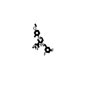 CCOc1ccc(N2C=C(c3cnn(C)c3)C(NCc3cc(F)cc(F)c3)=CC2)c(C)c1